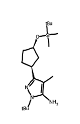 Cc1c([C@H]2CC[C@@H](O[Si](C)(C)C(C)(C)C)C2)nn(C(C)(C)C)c1N